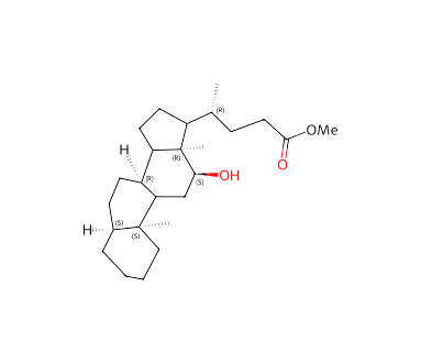 COC(=O)CC[C@@H](C)C1CCC2[C@@H]3CC[C@@H]4CCCC[C@]4(C)C3C[C@H](O)[C@@]21C